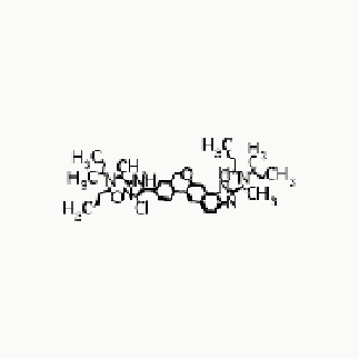 CCCC(=O)N([C@@H](C)CC)[C@@H](C)c1nc(Cl)c(-c2ccc3c(c2)COc2cc4c(ccc5nc([C@H](C)N(C(=O)CCC)[C@@H](C)CC)[nH]c54)cc2-3)[nH]1